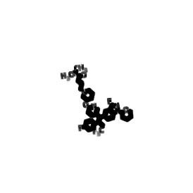 CN(C)C(=O)C=CCN1CCC[C@@H](Oc2ccc(/C(=C(/CC(F)(F)F)c3ccc(F)cc3)c3ccc4c(c3)c(F)nn4C3CCCCO3)cn2)C1